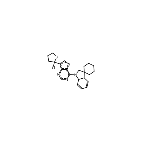 ClC1(n2cnc3c(N4CC5(CCCCC5)C5C=CC=CC54)ncnc32)CCCO1